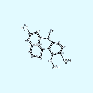 CCCCOc1cc(N(CC)c2nc(C)nc3ccccc23)ccc1OC